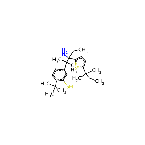 CCC(C)(C)c1ccc(C(N)(CC)C(C)(C)c2ccc(C(C)(C)C)c(S)c2)s1